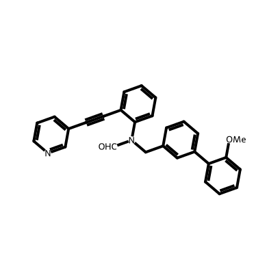 COc1ccccc1-c1cccc(CN(C=O)c2ccccc2C#Cc2cccnc2)c1